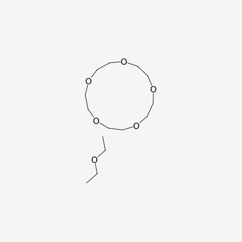 C1COCCOCCOCCOCCO1.CCOCC